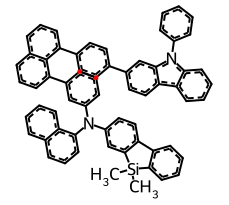 C[Si]1(C)c2ccccc2-c2ccc(N(c3cccc(-c4cccc5cccc(-c6ccc(-c7ccc8c9ccccc9n(-c9ccccc9)c8c7)cc6)c45)c3)c3cccc4ccccc34)cc21